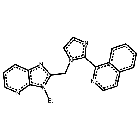 CCn1c(Cn2ccnc2-c2nccc3ccccc23)nc2cccnc21